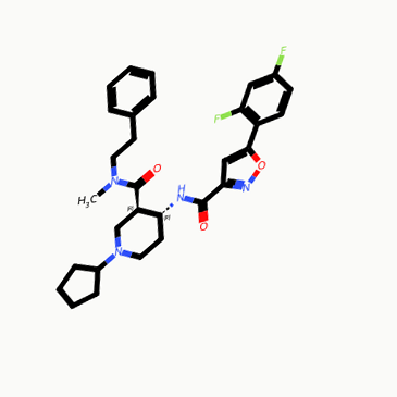 CN(CCc1ccccc1)C(=O)[C@@H]1CN(C2CCCC2)CC[C@H]1NC(=O)c1cc(-c2ccc(F)cc2F)on1